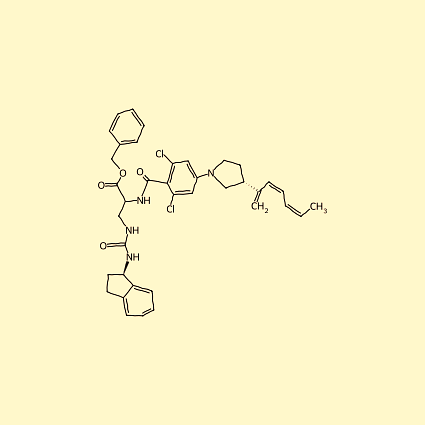 C=C(/C=C\C=C/C)[C@H]1CCN(c2cc(Cl)c(C(=O)NC(CNC(=O)N[C@@H]3CCc4ccccc43)C(=O)OCc3ccccc3)c(Cl)c2)C1